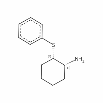 N[C@@H]1CCCC[C@@H]1Sc1ccccc1